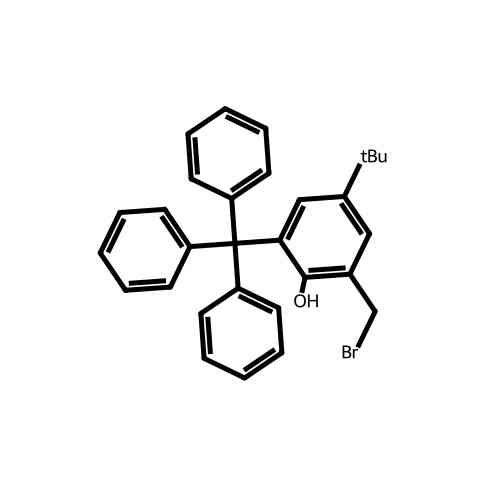 CC(C)(C)c1cc(CBr)c(O)c(C(c2ccccc2)(c2ccccc2)c2ccccc2)c1